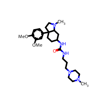 COc1ccc(C23CCC(NC(=O)NCCCN4CCN(C)CC4)CC2N(C)CC3)cc1OC